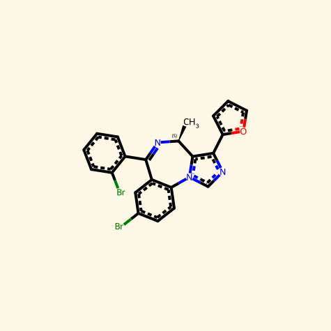 C[C@@H]1N=C(c2ccccc2Br)c2cc(Br)ccc2-n2cnc(-c3ccco3)c21